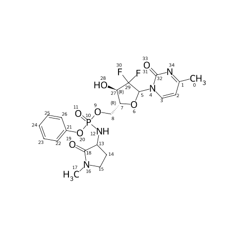 Cc1ccn(C2O[C@H](COP(=O)(NC3CCN(C)C3=O)Oc3ccccc3)[C@@H](O)C2(F)F)c(=O)n1